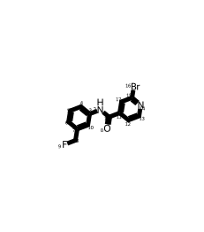 O=C(Nc1cccc(CF)c1)c1ccnc(Br)c1